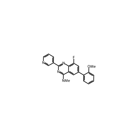 CNc1nc(-c2cccnc2)nc2c(F)cc(-c3ccccc3OC)cc12